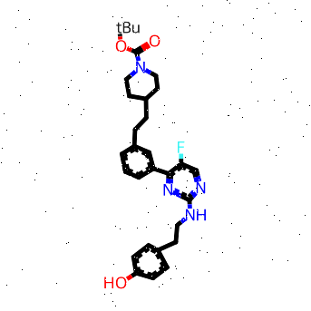 CC(C)(C)OC(=O)N1CCC(CCc2cccc(-c3nc(NCCc4ccc(O)cc4)ncc3F)c2)CC1